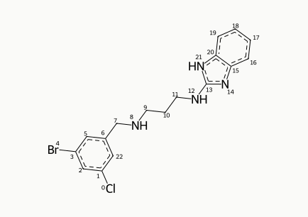 Clc1cc(Br)cc(CNCCCNc2nc3ccccc3[nH]2)c1